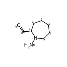 NN1CCCCC[C@@H]1C=O